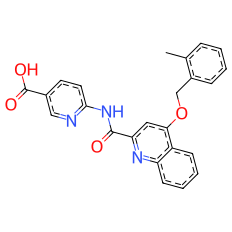 Cc1ccccc1COc1cc(C(=O)Nc2ccc(C(=O)O)cn2)nc2ccccc12